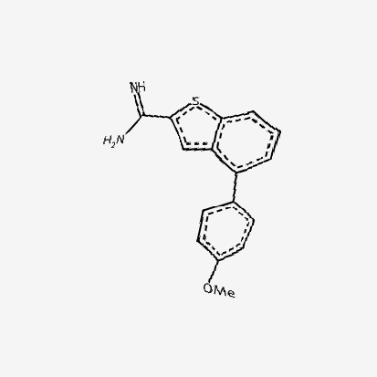 COc1ccc(-c2cccc3sc(C(=N)N)cc23)cc1